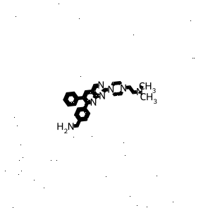 CN(C)CCN1CCN(c2ncc3cc(-c4ccccc4)c(-c4ccc(CN)cc4)nc3n2)CC1